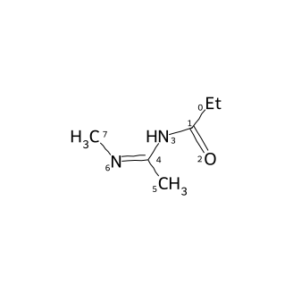 CCC(=O)N/C(C)=N\C